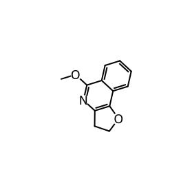 COc1nc2c(c3ccccc13)OCC2